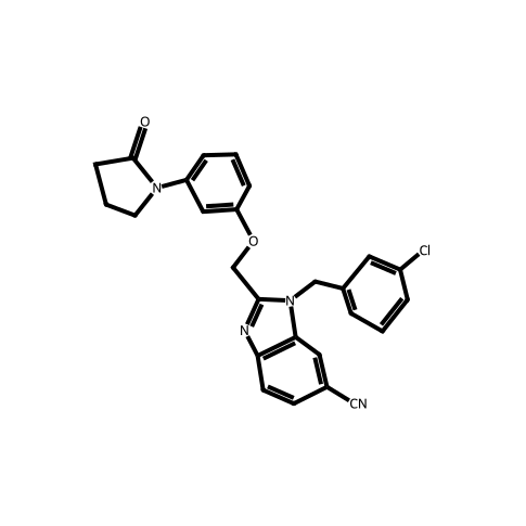 N#Cc1ccc2nc(COc3cccc(N4CCCC4=O)c3)n(Cc3cccc(Cl)c3)c2c1